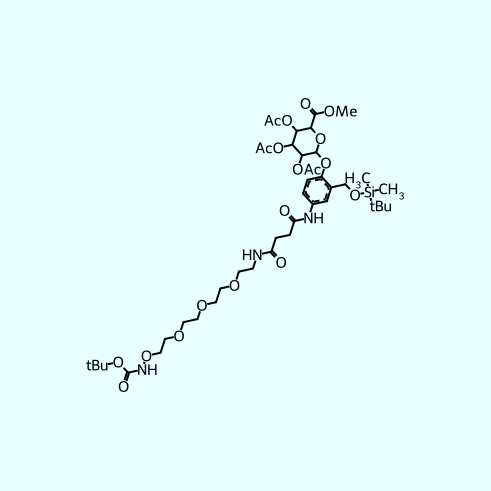 COC(=O)C1OC(Oc2ccc(NC(=O)CCC(=O)NCCOCCOCCOCCONC(=O)OC(C)(C)C)cc2CO[Si](C)(C)C(C)(C)C)C(OC(C)=O)C(OC(C)=O)C1OC(C)=O